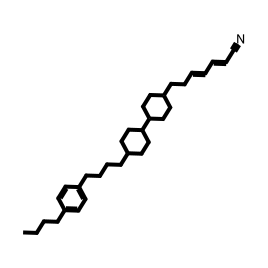 CCCCc1ccc(CCCCC2CCC(C3CCC(CCC=CC=CC#N)CC3)CC2)cc1